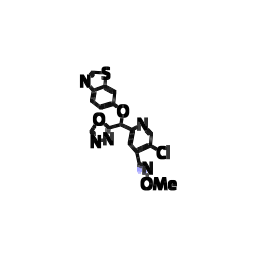 CO/N=C/c1cc(C(Oc2ccc3ncsc3c2)c2nnco2)ncc1Cl